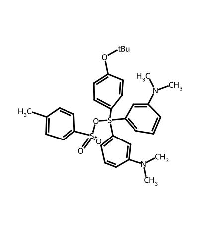 Cc1ccc(S(=O)(=O)OS(c2ccc(OC(C)(C)C)cc2)(c2cccc(N(C)C)c2)c2cccc(N(C)C)c2)cc1